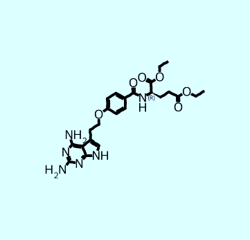 CCOC(=O)CC[C@@H](NC(=O)c1ccc(OCCc2c[nH]c3nc(N)nc(N)c23)cc1)C(=O)OCC